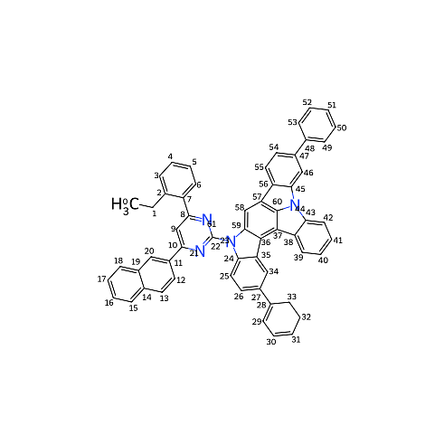 CCc1ccccc1-c1cc(-c2ccc3ccccc3c2)nc(-n2c3ccc(C4=CC=CCC4)cc3c3c4c5ccccc5n5c6cc(-c7ccccc7)ccc6c(cc32)c45)n1